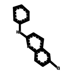 Clc1ccc2nc(Nc3ccccc3)ccc2c1